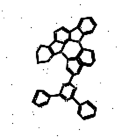 c1ccc(-c2nc(-c3ccccc3)nc(-c3cccc(-n4c5c(c6ccc7c8ccccc8n(-c8ccccc8)c7c64)CCCC5)c3)n2)cc1